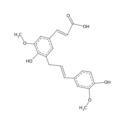 COc1cc(C=CCc2cc(C=CC(=O)O)cc(OC)c2O)ccc1O